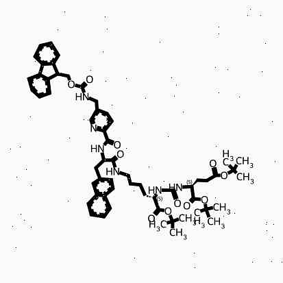 CC(C)(C)OC(=O)CC[C@H](NC(=O)N[C@@H](CCCCNC(=O)C(Cc1ccc2ccccc2c1)NC(=O)c1ccc(CNC(=O)OCC2c3ccccc3-c3ccccc32)cn1)C(=O)OC(C)(C)C)C(=O)OC(C)(C)C